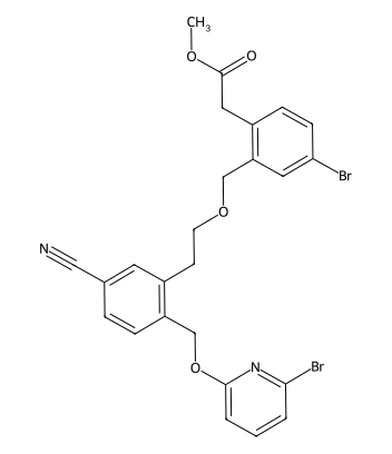 COC(=O)Cc1ccc(Br)cc1COCCc1cc(C#N)ccc1COc1cccc(Br)n1